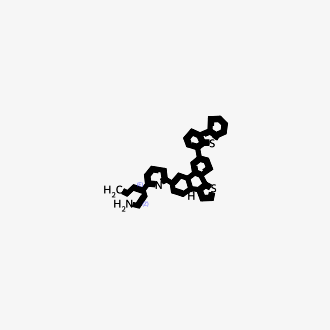 C=C/C=C(\C=C/N)c1cccc(C2=CC3c4cc(-c5cccc6c5sc5ccccc56)ccc4-c4sccc4[C@@H]3C=C2)n1